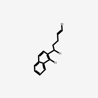 CCC=CCCC(CC)c1ccc2ccccc2c1CC